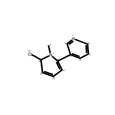 CN1C(c2cccnc2)=CC=CC1Cl